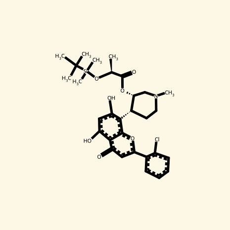 C[C@H](O[Si](C)(C)C(C)(C)C)C(=O)O[C@@H]1CN(C)CC[C@@H]1c1c(O)cc(O)c2c(=O)cc(-c3ccccc3Cl)oc12